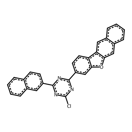 Clc1nc(-c2ccc3ccccc3c2)nc(-c2ccc3c(c2)oc2cc4ccccc4cc23)n1